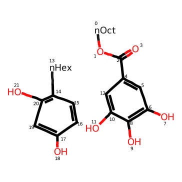 CCCCCCCCOC(=O)c1cc(O)c(O)c(O)c1.CCCCCCc1ccc(O)cc1O